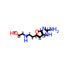 Nc1nc2oc(CCNCCO)cc2[nH]1